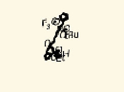 CCNS(=O)(=O)c1cc(C(=O)CCCCN(CCc2ccccc2OC(F)(F)F)C(=O)OC(C)(C)C)cc2c1CCC2